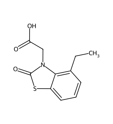 CCc1cccc2sc(=O)n(CC(=O)O)c12